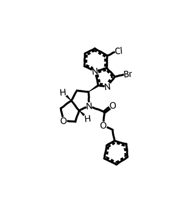 O=C(OCc1ccccc1)N1[C@@H]2COC[C@@H]2C[C@H]1c1nc(Br)c2c(Cl)cccn12